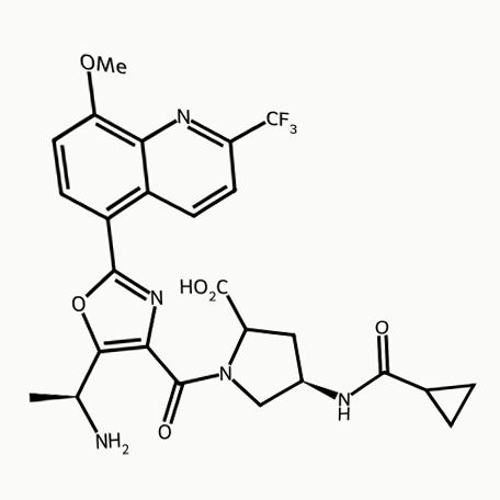 COc1ccc(-c2nc(C(=O)N3C[C@H](NC(=O)C4CC4)CC3C(=O)O)c([C@H](C)N)o2)c2ccc(C(F)(F)F)nc12